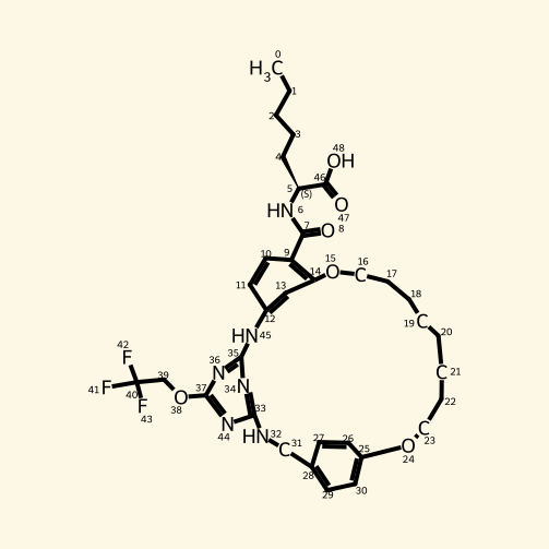 CCCCC[C@H](NC(=O)c1ccc2cc1OCCCCCCCCOc1ccc(cc1)CNc1nc(nc(OCC(F)(F)F)n1)N2)C(=O)O